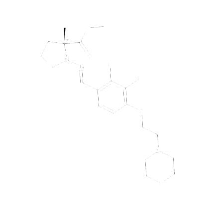 COC(=O)[C@@]1(C)CCCN1N=Cc1ccc(OCCN2CCOCC2)c(F)c1F